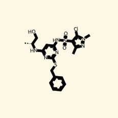 Cc1nn(C)c(Cl)c1S(=O)(=O)Nc1cc(N[C@H](C)CO)nc(SCc2ccccc2)n1